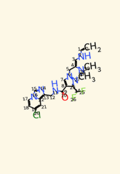 C=CN/C=C(/Cn1cc(C(=O)NCc2ncn3ccc(Cl)cc23)c(C(F)F)n1)N(C)C